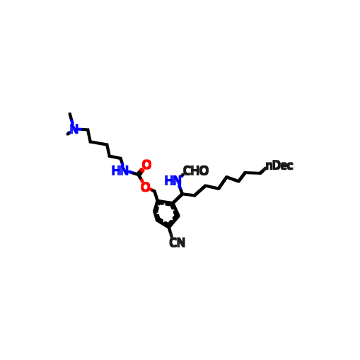 CCCCCCCCCCCCCCCCCC(NC=O)c1cc(C#N)ccc1COC(=O)NCCCCCN(C)C